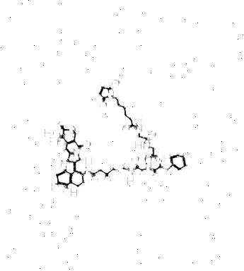 CC[C@@]1(O)C(=O)OCc2c1cc1n(c2=O)Cc2c-1nc1cc(F)c(C)c3c1c2[C@@H](NC(=O)CC(=O)CSCNC(=O)CNC(=O)[C@H](Cc1ccccc1)NC(=O)CNC(=O)CNC(=O)CCCCCN1C(=O)C=CC1=O)CC3